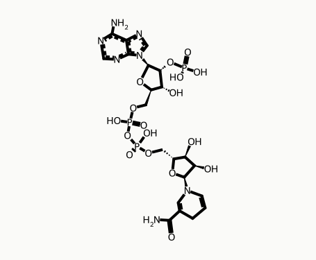 NC(=O)C1=CN([C@H]2O[C@H](COP(=O)(O)OP(=O)(O)OC[C@H]3O[C@@H](n4cnc5c(N)ncnc54)[C@H](OP(=O)(O)O)[C@@H]3O)[C@@H](O)[C@H]2O)C=CC1